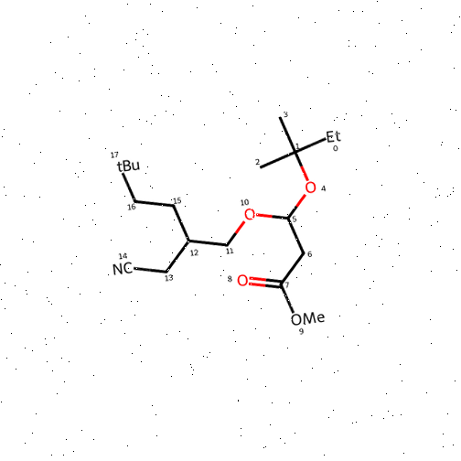 CCC(C)(C)OC(CC(=O)OC)OCC(CC#N)CCC(C)(C)C